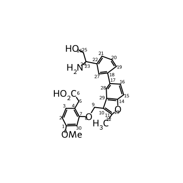 COc1ccc(CC(=O)O)c(OCc2c(C)oc3ccc(-c4cccc(C(N)CO)c4)cc23)c1